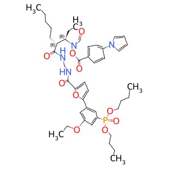 CCCCC[C@@H](C(=O)NCNC(=O)c1ccc(-c2cc(OCC)cc(P(=O)(OCCCC)OCCCC)c2)o1)[C@@H](CC)N(C=O)OC(=O)c1ccc(-n2cccc2)cc1